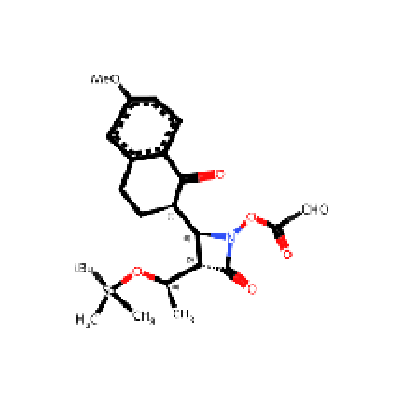 COc1ccc2c(c1)CC[C@H]([C@@H]1[C@@H]([C@@H](C)O[Si](C)(C)C(C)(C)C)C(=O)N1OC(=O)C=O)C2=O